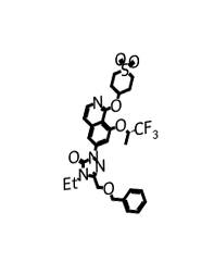 CCn1c(COCc2ccccc2)nn(-c2cc(O[C@@H](C)C(F)(F)F)c3c(OC4CCS(=O)(=O)CC4)nccc3c2)c1=O